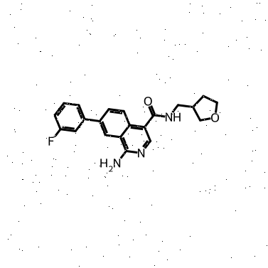 Nc1ncc(C(=O)NCC2CCOC2)c2ccc(-c3cccc(F)c3)cc12